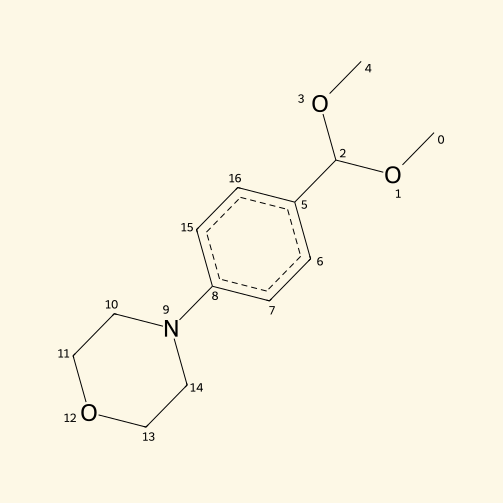 COC(OC)c1ccc(N2CCOCC2)cc1